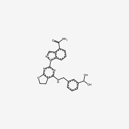 NC(=O)c1cccc2c1cnn2-c1nc(NCc2cccc(B(O)O)c2)c2c(n1)OCC2